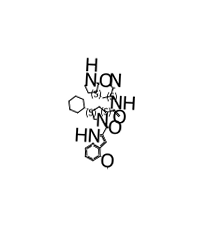 COc1cccc2[nH]c(C(=O)N3C[C@H](C4CCCCC4)C[C@H]3C(=O)N[C@H](C#N)C[C@@H]3CCNC3=O)cc12